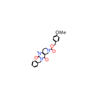 COc1ccc(COC(=O)N2CCc3c(c(=O)n(Cc4ccccc4)c(=O)n3C)C2)cc1